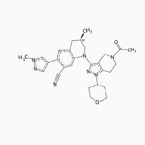 CC(=O)N1CCc2c(c(N3C[C@H](C)Cc4cc(-c5cnn(C)c5)c(C#N)cc43)nn2C2CCOCC2)C1